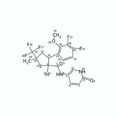 [2H]C1(C(=O)Nc2ccc(=O)[nH]c2)SC(C)(C(F)(F)F)CC1c1ccc(F)c(F)c1OC